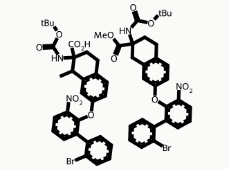 CC1c2cc(Oc3c(-c4ccccc4Br)cccc3[N+](=O)[O-])ccc2CCC1(NC(=O)OC(C)(C)C)C(=O)O.COC(=O)C1(NC(=O)OC(C)(C)C)CCc2ccc(Oc3c(-c4ccccc4Br)cccc3[N+](=O)[O-])cc2C1